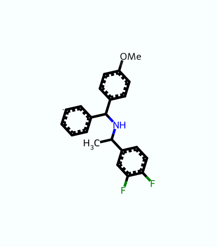 COc1ccc(C(NC(C)c2ccc(F)c(F)c2)c2c[c]ccc2)cc1